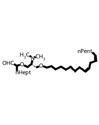 CCCCC/C=C\C/C=C\CCCCCCCCOC[C@H](COC(C=O)CCCCCCC)N(C)C